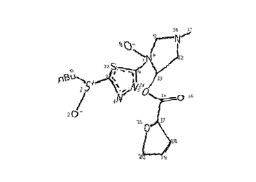 CCCC[S+]([O-])c1nnc([N+]2([O-])CN(C)CC2OC(=O)C2CCCO2)s1